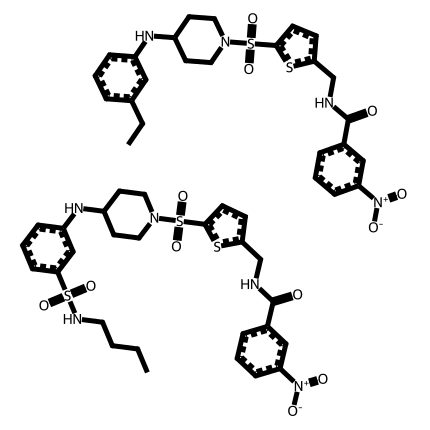 CCCCNS(=O)(=O)c1cccc(NC2CCN(S(=O)(=O)c3ccc(CNC(=O)c4cccc([N+](=O)[O-])c4)s3)CC2)c1.CCc1cccc(NC2CCN(S(=O)(=O)c3ccc(CNC(=O)c4cccc([N+](=O)[O-])c4)s3)CC2)c1